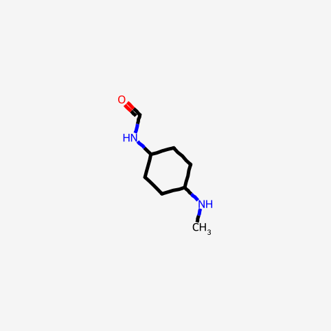 CNC1CCC(NC=O)CC1